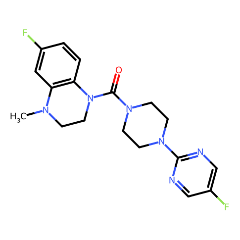 CN1CCN(C(=O)N2CCN(c3ncc(F)cn3)CC2)c2ccc(F)cc21